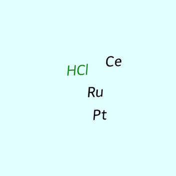 Cl.[Ce].[Pt].[Ru]